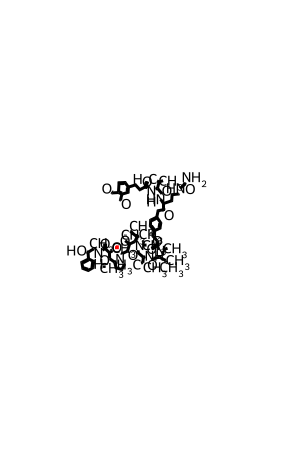 CCC(C)C(C(CC(=O)N1CCCC1C(OC)C(C)C(=O)NC(C)C(O)c1ccccc1)OC)N(C)C(=O)C(NC(=O)C(C(C)C)N(C)C(=O)OCc1ccc(CC(=O)C(CCCNC(N)=O)NC(=O)C(NC(=O)CCc2ccc(C=O)c(C=O)c2)C(C)C)cc1)C(C)C